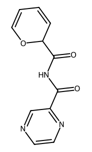 O=C(NC(=O)C1C=CC=CO1)c1cnccn1